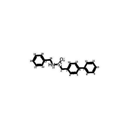 [O-][S+](Cc1ccc(-c2ccccc2)cc1)NCc1ccccc1